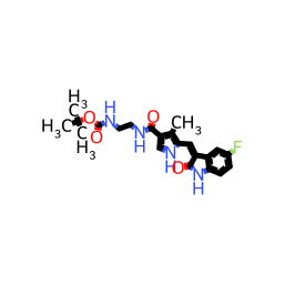 Cc1c(C(=O)NCCNC(=O)OC(C)(C)C)c[nH]c1C=C1C(=O)Nc2ccc(F)cc21